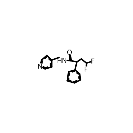 O=C(NCc1ccncc1)C(CC(F)F)c1ccccc1